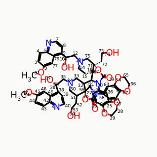 COc1ccc2nccc([C@H](O)CN3CC[C@@]4(OC(=O)N(c5ccc6c(c5)OCCO6)C4C4CN(C[C@H](O)c5ccnc6ccc(OC)cc56)CC(CCO)C45CN(c4ccc6c(c4)OCCO6)C(=O)O5)[C@@H](CCO)C3)c2c1